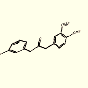 COc1ccc(CC(=O)Cc2cccc(O)c2)cc1OC